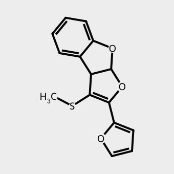 CSC1=C(c2ccco2)OC2Oc3ccccc3C12